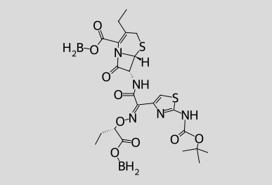 BOC(=O)C1=C(CC)CS[C@@H]2[C@H](NC(=O)/C(=N\O[C@@H](CC)C(=O)OB)c3csc(NC(=O)OC(C)(C)C)n3)C(=O)N12